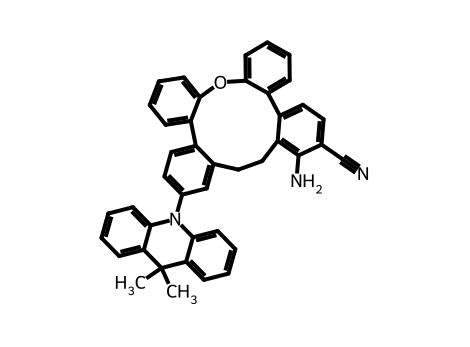 CC1(C)c2ccccc2N(c2ccc3c(c2)CCc2c(ccc(C#N)c2N)-c2ccccc2Oc2ccccc2-3)c2ccccc21